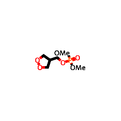 COP(=O)(OC)OCC1COOC1